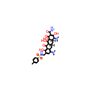 Cc1ccc(S(=O)(=O)NCc2cc(N(C)C)c3c(c2O)C(=O)C2=C(O)[C@]4(O)C(=O)C(C(N)=O)=C(O)C(N(C)C)[C@@H]4C[C@@H]2C3)cc1